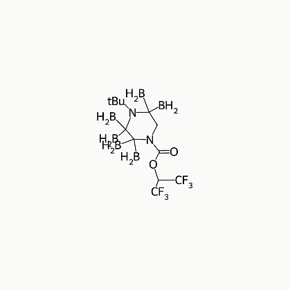 BC1(B)CN(C(=O)OC(C(F)(F)F)C(F)(F)F)C(B)(B)C(B)(B)N1C(C)(C)C